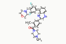 Cc1cc(-c2cnc3cccc(-c4cc(F)c(CN5CCOCC5)c(F)c4)c3n2)ccc1C(=O)N1CCN(C)CC1